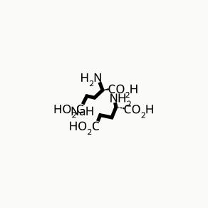 N[C@@H](CCC(=O)O)C(=O)O.N[C@@H](CCC(=O)O)C(=O)O.[NaH]